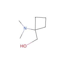 CN(C)C1(CO)CCC1